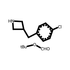 CC(C)(C)OC=O.Clc1ccc(CC2CNC2)cc1